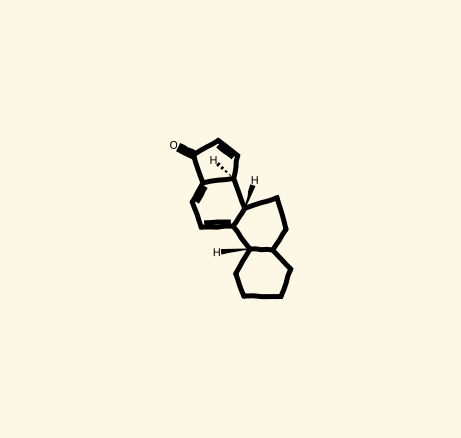 O=C1C=C[C@@H]2C1=CC=C1[C@H]3CCCCC3CC[C@H]12